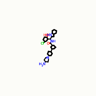 NC1CCN(c2ccc(-c3cccc(C(=O)NC(c4cc5ccccc5[nH]4)c4cc(Cl)ccc4O)c3)cc2)CC1